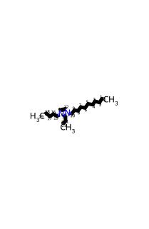 CCCCCCCCCCCN1C=CN(CCCCC)C1CCC